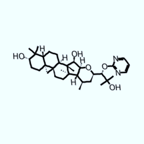 C[C@@H]1C[C@H]([C@H](Oc2ncccn2)C(C)(C)O)O[C@H]2[C@H]1[C@@]1(C)CC[C@@]34C[C@@]35CC[C@H](O)C(C)(C)[C@@H]5CC[C@H]4[C@]1(C)[C@H]2O